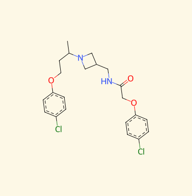 CC(CCOc1ccc(Cl)cc1)N1CC(CNC(=O)COc2ccc(Cl)cc2)C1